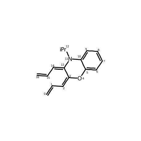 C=C/C=C1/Oc2ccccc2N(C(C)C)/C1=C/C=C